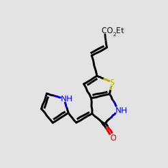 CCOC(=O)C=Cc1cc2c(s1)NC(=O)C2=Cc1ccc[nH]1